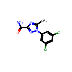 Cc1nc(C(N)=O)nn1-c1cc(Cl)cc(Cl)c1